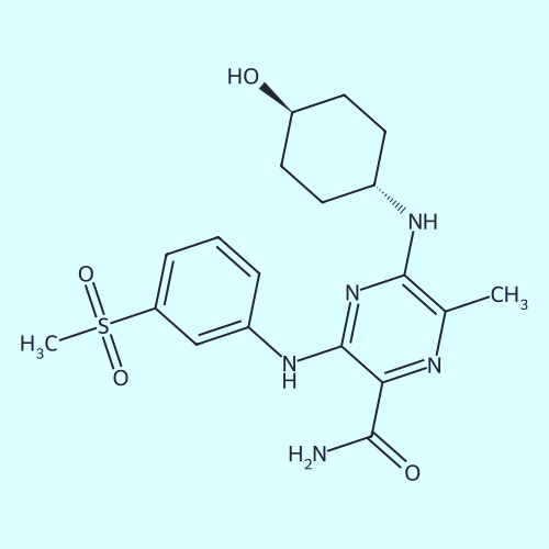 Cc1nc(C(N)=O)c(Nc2cccc(S(C)(=O)=O)c2)nc1N[C@H]1CC[C@H](O)CC1